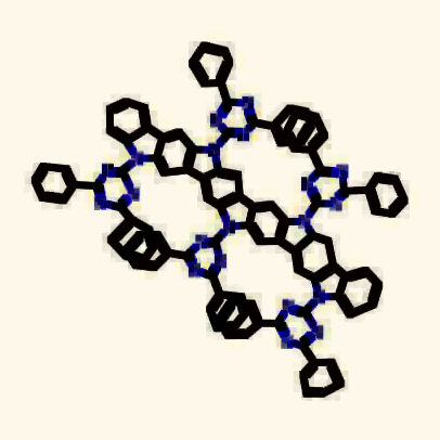 C1=C2c3cc4c(cc3N(c3nc(-c5ccccc5)nc(-c5ccccc5)n3)C2Cc2c1n(-c1nc(-c3ccccc3)nc(-c3ccccc3)n1)c1ccccc21)c1cc2c(cc1n4-c1nc(-c3ccccc3)nc(-c3ccccc3)n1)c1cc3c(cc1n2-c1nc(-c2ccccc2)nc(-c2ccccc2)n1)c1ccccc1n3-c1nc(-c2ccccc2)nc(-c2ccccc2)n1